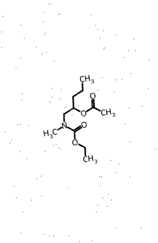 CCCC(CN(C)C(=O)OCC)OC(C)=O